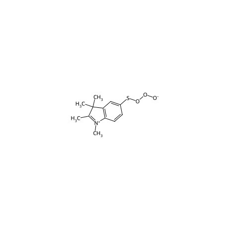 CC1=[N+](C)c2ccc(SOO[O-])cc2C1(C)C